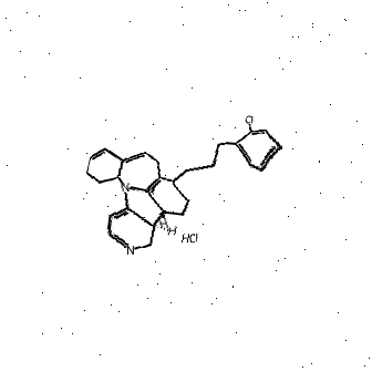 Cl.Clc1ccccc1CCCC1CC[C@H]2C3=C1CC=C1C=CCCC1N3C1=CC=NC[C@@H]12